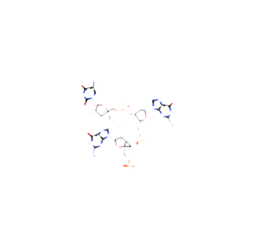 CC[C@@]1(COP(=O)(S)O[C@H]2C[C@H](n3cnc4c(=O)[nH]c(N)nc43)O[C@@H]2COP(=O)(S)O[C@]23C[C@]2(COP(=O)(O)S)O[C@@H](n2cnc4c(=O)[nH]c(N)nc42)[C@@H]3OC)C[C@@H](O)[C@H](n2cc(C)c(=O)[nH]c2=O)O1